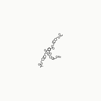 C=CC(=O)OCC1CC2C3CC(COC(=O)c4ccc(C(=O)OCC5CC6CC5C5CC(COC(=O)C(=C)C)CC65)c(C(=O)OCC5CC6C7CC(COC(C)=O)C(C7)C6C5)c4)C(C3)C2C1